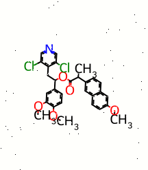 COc1ccc2cc(C(C)C(=O)OC(Cc3c(Cl)cncc3Cl)c3ccc(OC)c(OC)c3)ccc2c1